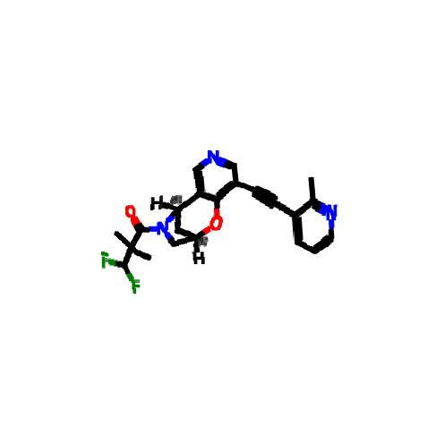 Cc1ncccc1C#Cc1cncc2c1O[C@H]1C[C@@H]2N(C(=O)C(C)(C)C(F)F)C1